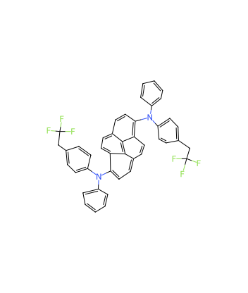 FC(F)(F)Cc1ccc(N(c2ccccc2)c2ccc3ccc4c(N(c5ccccc5)c5ccc(CC(F)(F)F)cc5)ccc5ccc2c3c54)cc1